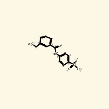 CCc1cccc(C(=O)Nc2ccc(S(=O)(=O)O)cc2)c1